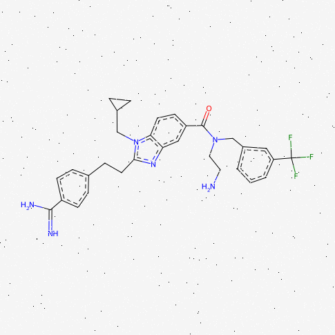 N=C(N)c1ccc(CCc2nc3cc(C(=O)N(CCN)Cc4cccc(C(F)(F)F)c4)ccc3n2CC2CC2)cc1